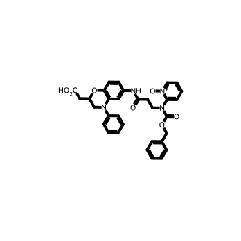 O=C(O)CC1CN(c2ccccc2)c2cc(NC(=O)CCN(C(=O)OCc3ccccc3)c3cccc[n+]3[O-])ccc2O1